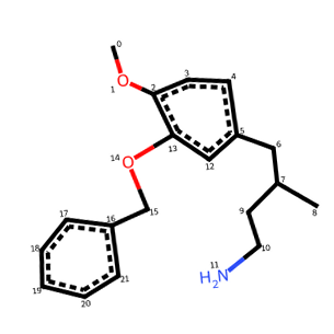 COc1ccc(CC(C)CCN)cc1OCc1ccccc1